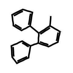 Cc1[c]ccc(-c2ccccc2)c1-c1ccccc1